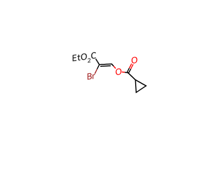 CCOC(=O)C(Br)=COC(=O)C1CC1